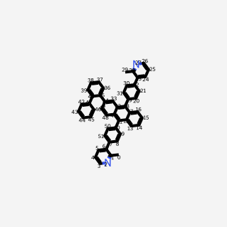 Cc1ncccc1-c1ccc(-c2c3ccccc3c(-c3ccc(-c4cccnc4C)cc3)c3cc(-c4ccccc4-c4ccccc4)ccc23)cc1